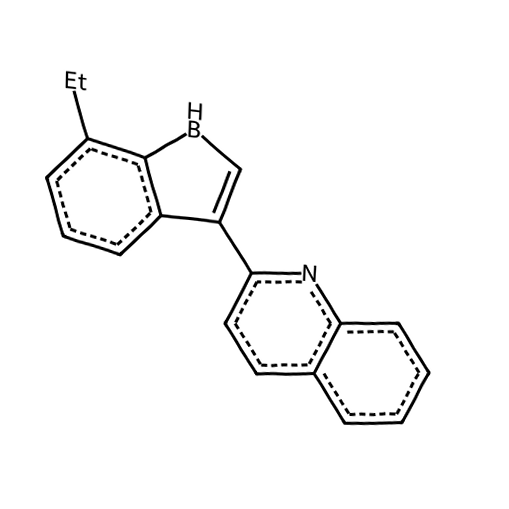 CCc1cccc2c1BC=C2c1ccc2ccccc2n1